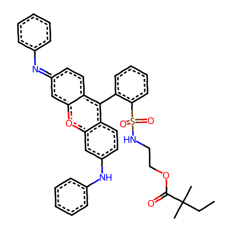 CCC(C)(C)C(=O)OCCNS(=O)(=O)c1ccccc1-c1c2cc/c(=N\c3ccccc3)cc-2oc2cc(Nc3ccccc3)ccc12